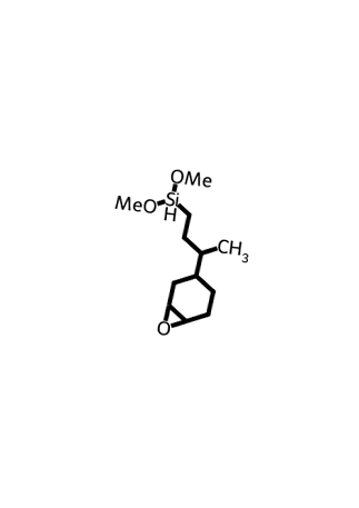 CO[SiH](CCC(C)C1CCC2OC2C1)OC